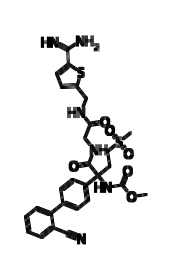 COC(=O)NC(CCS(C)(=O)=O)(C(=O)NCC(=O)NCc1ccc(C(=N)N)s1)c1ccc(-c2ccccc2C#N)cc1